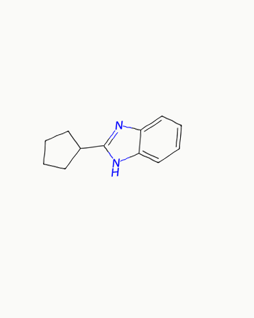 c1ccc2[nH]c(C3CCCC3)nc2c1